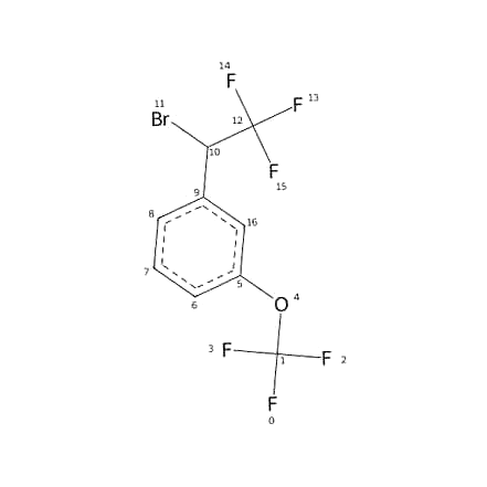 FC(F)(F)Oc1cccc(C(Br)C(F)(F)F)c1